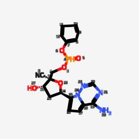 N#C[C@]1(CO[PH](=O)Oc2ccccc2)O[C@@H](c2ccc3c(N)ncnn23)C[C@@H]1O